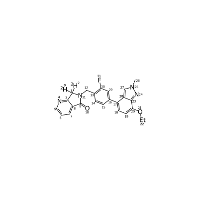 [2H]C1([2H])c2ncccc2C(=O)N1Cc1ccc(-c2ccc(OCC)c3nn(C)cc23)cc1F